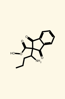 CCCC(N)C1(C(=O)OO)C(=O)c2ccccc2C1=O